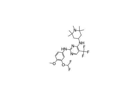 COc1ccc(Nc2ncc(C(F)(F)F)c(NC3CC(C)(C)N(C)C(C)(C)C3)n2)cc1OC(F)F